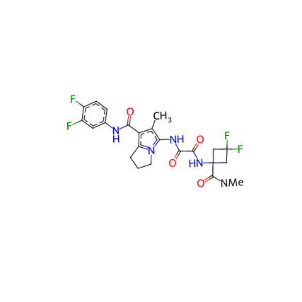 CNC(=O)C1(NC(=O)C(=O)Nc2c(C)c(C(=O)Nc3ccc(F)c(F)c3)c3n2CCC3)CC(F)(F)C1